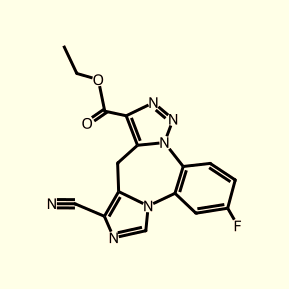 CCOC(=O)c1nnn2c1Cc1c(C#N)ncn1-c1cc(F)ccc1-2